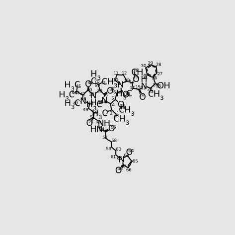 CCC(C)C(C(CC(=O)N1CCC[C@H]1C(OC)C(C)C(=O)NC(C)C(O)c1ccccc1)OC)N(C)C(=O)C(NC(=O)C(C(C)C)N(C)CCCC(=O)NNC(=O)CCCCCN1C(=O)C=CC1=O)C(C)C